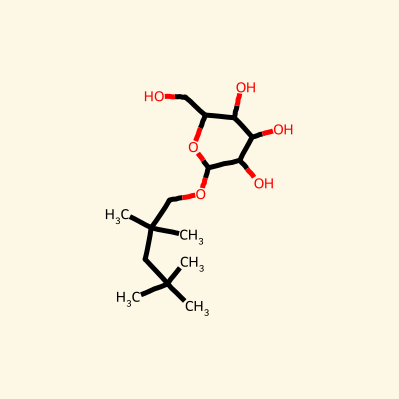 CC(C)(C)CC(C)(C)COC1OC(CO)C(O)C(O)C1O